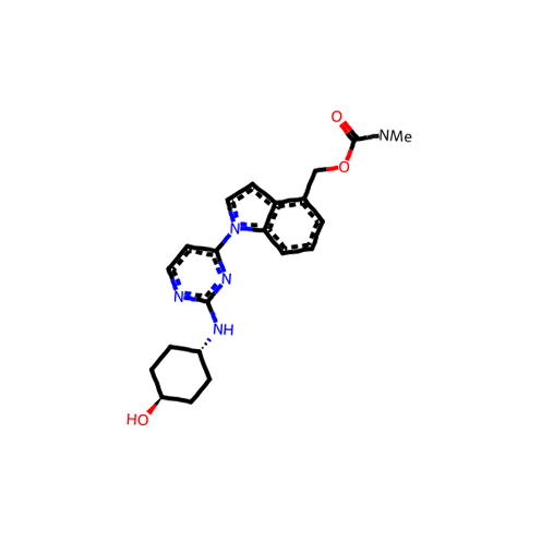 CNC(=O)OCc1cccc2c1ccn2-c1ccnc(N[C@H]2CC[C@H](O)CC2)n1